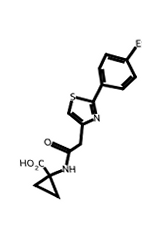 CCc1ccc(-c2nc(CC(=O)NC3(C(=O)O)CC3)cs2)cc1